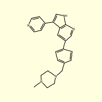 CN1CCN(Cc2ccc(-c3cnc4[nH]cc(-c5ccncc5)c4c3)cc2)CC1